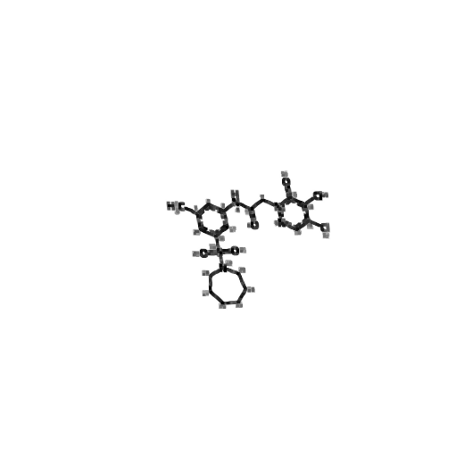 Cc1cc(NC(=O)Cn2ncc(Cl)c(Cl)c2=O)cc(S(=O)(=O)N2CCCCCC2)c1